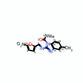 CNC(=O)n1c(N=Cc2ccc([N+](=O)[O-])o2)nc2cc(C)ccc21